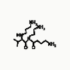 CC(C)C(NCCCN)C(=O)N(CCCN)C(=O)CCCN